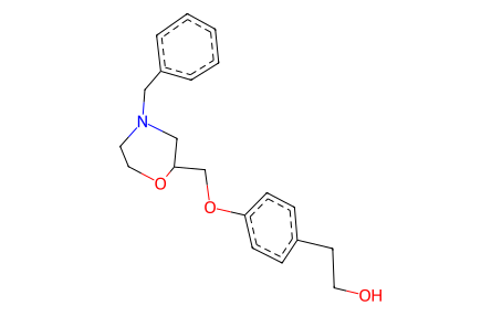 OCCc1ccc(OCC2CN(Cc3ccccc3)CCO2)cc1